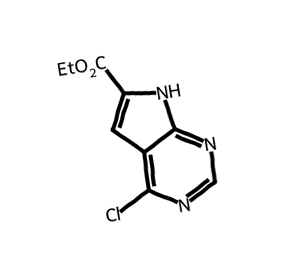 CCOC(=O)c1cc2c(Cl)ncnc2[nH]1